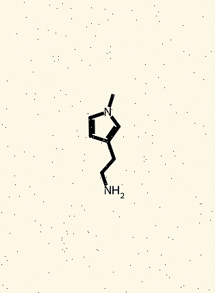 Cn1ccc(CCN)c1